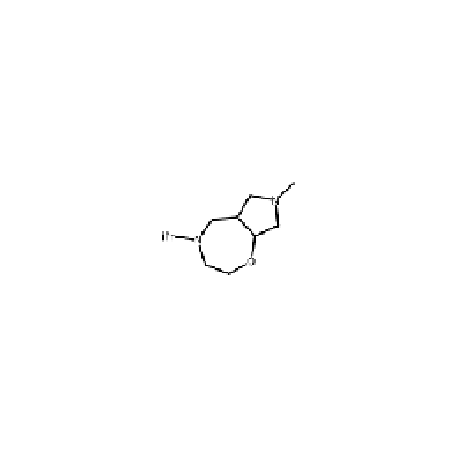 CC(C)N1CCOC2CN(C)CC2C1